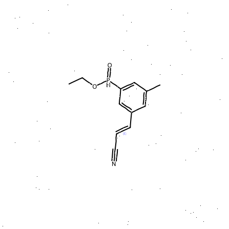 CCO[PH](=O)c1cc(C)cc(/C=C/C#N)c1